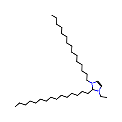 CCCCCCCCCCCCCCCC1N(CC)C=CN1CCCCCCCCCCCCCCC